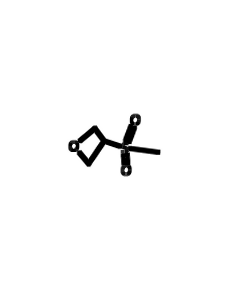 CS(=O)(=O)C1COC1